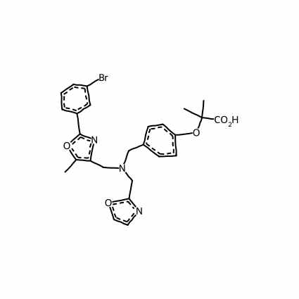 Cc1oc(-c2cccc(Br)c2)nc1CN(Cc1ccc(OC(C)(C)C(=O)O)cc1)Cc1ncco1